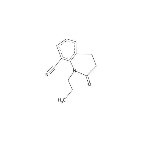 CCCN1C(=O)CCc2cccc(C#N)c21